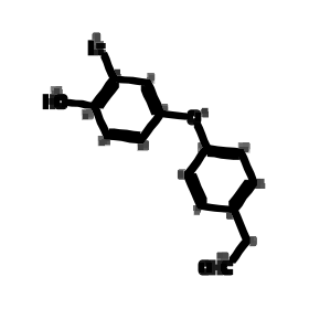 CCc1cc(Oc2ccc(CC=O)cc2)ccc1O